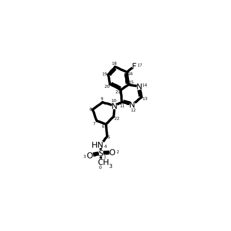 CS(=O)(=O)NCC1CCCN(c2ncnc3c(F)cccc23)C1